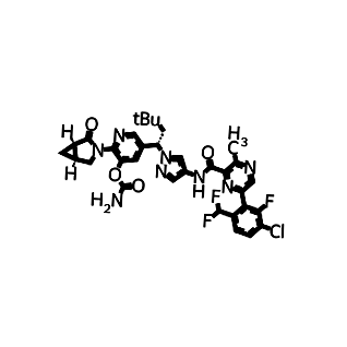 Cc1ncc(-c2c(C(F)F)ccc(Cl)c2F)nc1C(=O)Nc1cnn([C@@H](CC(C)(C)C)c2cnc(N3C[C@H]4C[C@H]4C3=O)c(OC(N)=O)c2)c1